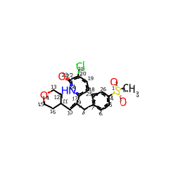 CS(=O)(=O)c1ccc(C/C(=C/C2CCOCC2)c2ccc(Cl)c(=O)[nH]2)cc1